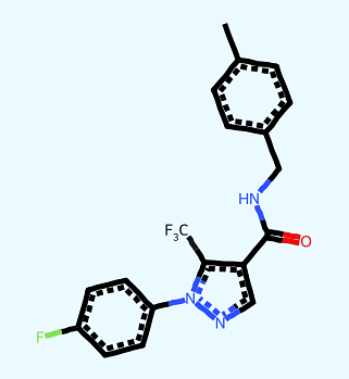 Cc1ccc(CNC(=O)c2cnn(-c3ccc(F)cc3)c2C(F)(F)F)cc1